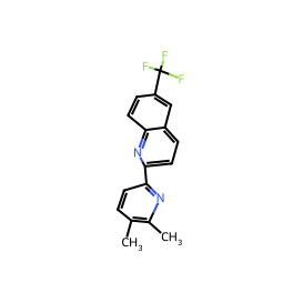 Cc1ccc(-c2ccc3cc(C(F)(F)F)ccc3n2)nc1C